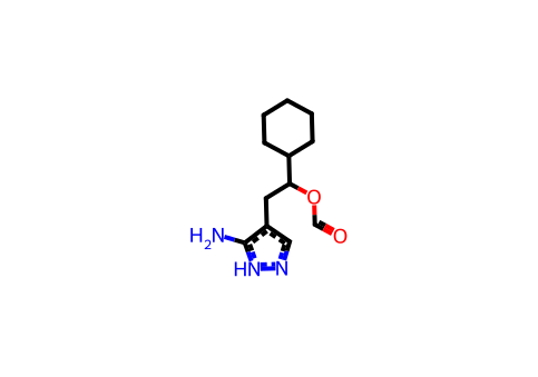 Nc1[nH]ncc1CC(OC=O)C1CCCCC1